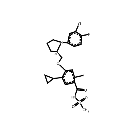 CS(=O)(=O)NC(=O)c1cc(C2CC2)c(OC[C@H]2CCCN2c2ccc(F)c(Cl)c2)cc1F